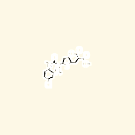 COC(=O)c1cc2sc(NC(=O)N(C)c3ccc(Cl)cc3OC)cc2oc1=O